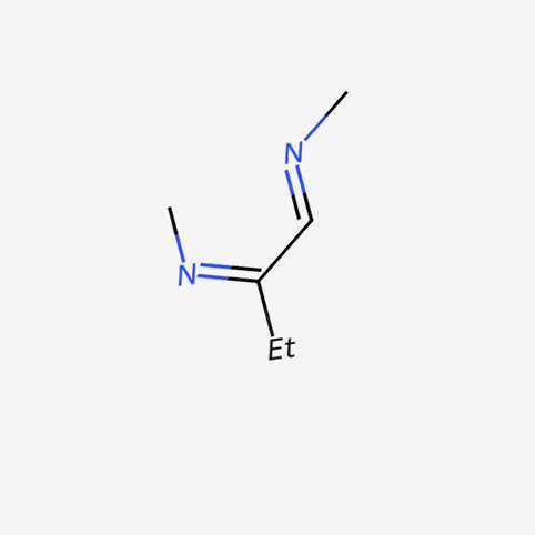 CCC(C=NC)=NC